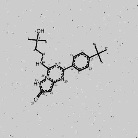 CC(C)(O)CCNc1nc(-c2ccc(C(C)(C)C)cc2)nc2cc(=O)[nH]n12